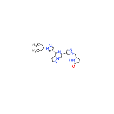 CCC(CC)n1cc(-c2nc(-c3cnn(CC4CCC(=O)N4)c3)cn3nccc23)cn1